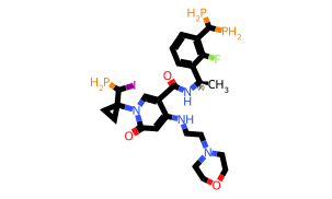 C[C@@H](NC(=O)c1cn(C2(C(P)I)CC2)c(=O)cc1NCCN1CCOCC1)c1cccc(C(P)P)c1F